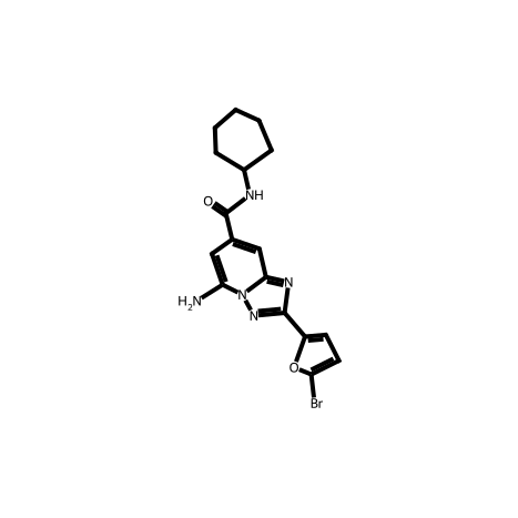 Nc1cc(C(=O)NC2CCCCC2)cc2nc(-c3ccc(Br)o3)nn12